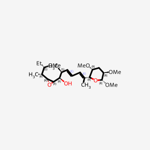 CC[C@H](OC)[C@@H](C)[C@H]1O[C@@H]1[C@H](O)[C@@H](C)/C=C/C=C(\C)[C@H]1O[C@@H](OC)[C@H](OC)C[C@H]1OC